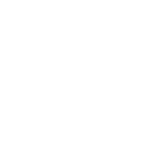 CC(=O)S[C@H]1C[C@@H](CN(C(=O)OCc2ccc([N+](=O)[O-])cc2)c2ccccc2)N(C(=O)OCc2ccc([N+](=O)[O-])cc2)C1